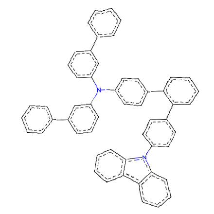 c1ccc(-c2cccc(N(c3ccc(-c4ccccc4-c4ccc(-n5c6ccccc6c6ccccc65)cc4)cc3)c3cccc(-c4ccccc4)c3)c2)cc1